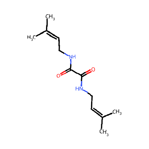 CC(C)=CCNC(=O)C(=O)NCC=C(C)C